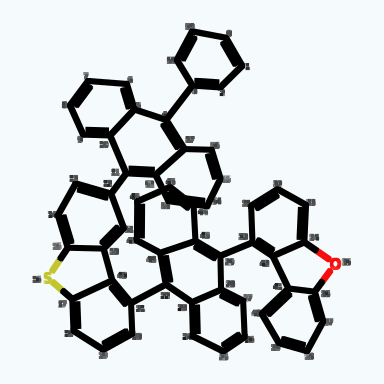 c1ccc(-c2c3ccccc3c(-c3ccc4sc5cccc(-c6c7ccccc7c(-c7cccc8oc9ccccc9c78)c7ccccc67)c5c4c3)c3ccccc23)cc1